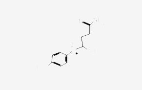 Cc1ccc(S(=O)(=O)C(S)CCC(=N)N)cc1